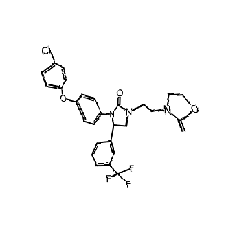 C=C1OCCN1CCN1CC(c2cccc(C(F)(F)F)c2)N(c2ccc(Oc3ccc(Cl)cc3)cc2)C1=O